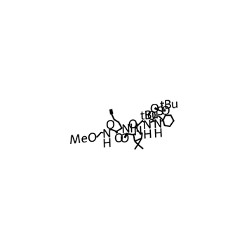 C#CCCC(NC(=O)C1C2C(CN1C(=O)[C@@H](NC(=O)NC1(CS(=O)(=O)C(C)(C)C)CCCCC1)C(C)(C)C)C2(C)C)C(=O)C(=O)NCCOC